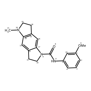 COc1cccc(NC(=O)N2CCc3cc4c(cc32)CCN4C)c1